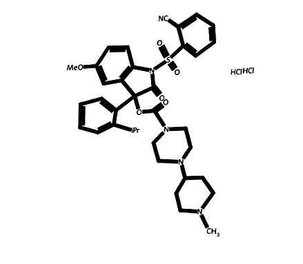 COc1ccc2c(c1)C(OC(=O)N1CCN(C3CCN(C)CC3)CC1)(c1ccccc1C(C)C)C(=O)N2S(=O)(=O)c1ccccc1C#N.Cl.Cl